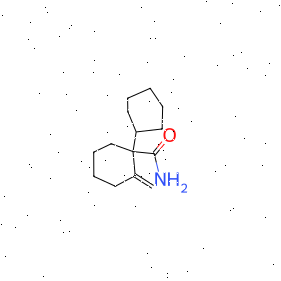 C=C1CCCCC1(C(N)=O)C1CCCCC1